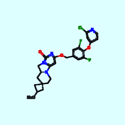 COC1CC2(CCN3c4cc(OCc5cc(F)c(Oc6ccnc(Cl)c6)c(F)c5)nc(=O)n4CC3C2)C1